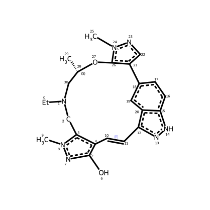 CCN1Cc2c(c(O)nn2C)/C=C/c2n[nH]c3ccc(cc23)-c2cnn(C)c2O[C@@H](C)C1